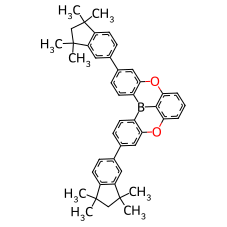 CC1(C)CC(C)(C)c2cc(-c3ccc4c(c3)Oc3cccc5c3B4c3ccc(-c4ccc6c(c4)C(C)(C)CC6(C)C)cc3O5)ccc21